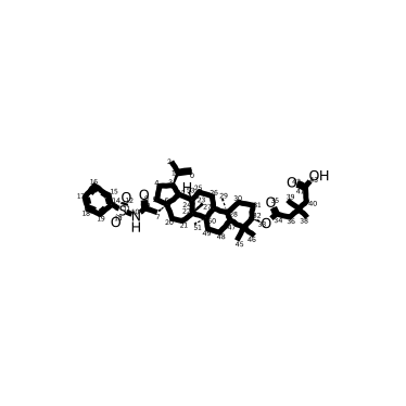 C=C(C)[C@@H]1CC[C@]2(CC(=O)NS(=O)(=O)c3ccccc3)CC[C@]3(C)[C@H](CCC4[C@@]5(C)CC[C@H](OC(=O)CC(C)(C)CC(=O)O)C(C)(C)C5CC[C@]43C)C12